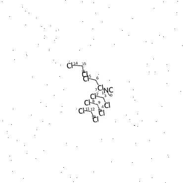 CC#N.ClCCl.ClCCl.ClCCl.ClCCl.ClCCl